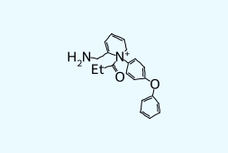 CCC(=O)[N+]1(c2ccc(Oc3ccccc3)cc2)CC=CC=C1CN